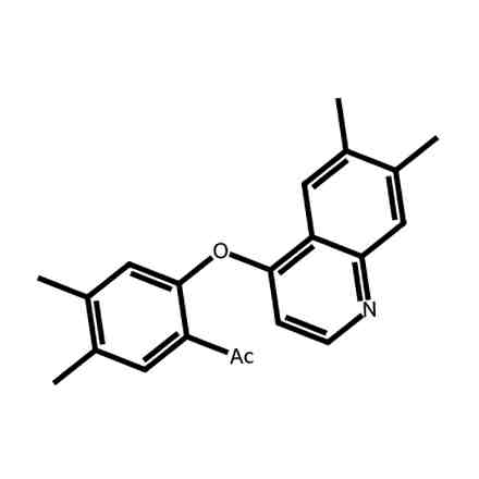 CC(=O)c1cc(C)c(C)cc1Oc1ccnc2cc(C)c(C)cc12